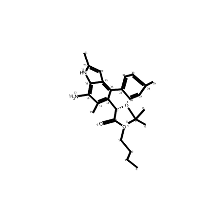 CCCCOC(=O)[C@@H](OC(C)(C)C)c1c(C)c(N)c2[nH]c(C)cc2c1-c1ccc(C)cc1